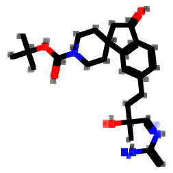 C=C(N)/N=C\C(C)(O)CCc1ccc2c(c1)C1(CCN(C(=O)OC(C)(C)C)CC1)CC2=O